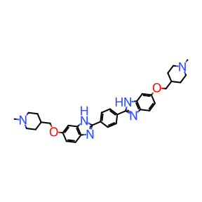 CN1CCC(COc2ccc3nc(-c4ccc(-c5nc6ccc(OCC7CCN(C)CC7)cc6[nH]5)cc4)[nH]c3c2)CC1